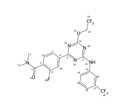 CN(C)C(=O)c1ccc(-c2nc(Nc3cccc(C(F)(F)F)c3)nc(OCC(F)(F)F)n2)cc1F